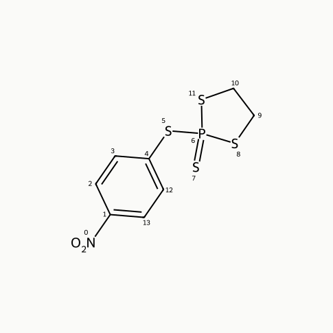 O=[N+]([O-])c1ccc(SP2(=S)SCCS2)cc1